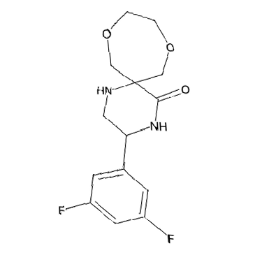 O=C1NC(c2cc(F)cc(F)c2)CNC12COCCOC2